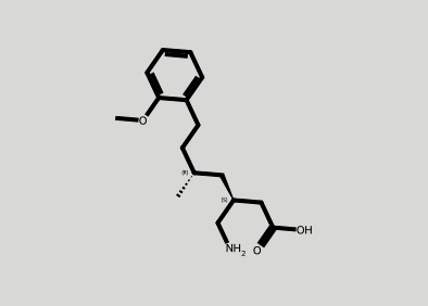 COc1ccccc1CC[C@@H](C)C[C@H](CN)CC(=O)O